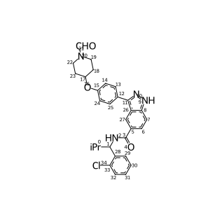 CC(C)C(NC(=O)c1ccc2[nH]nc(-c3ccc(OC4CCN(C=O)CC4)cc3)c2c1)c1ccccc1Cl